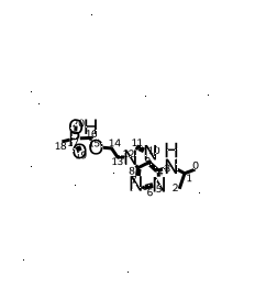 CC(C)Nc1ncnc2c1ncn2CCOCP(C)(=O)O